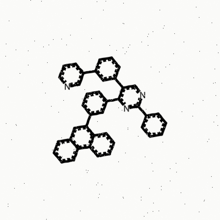 c1ccc(-c2ncc(-c3cccc(-c4cccnc4)c3)c(-c3cccc(-c4cc5ccccc5c5ccccc45)c3)n2)cc1